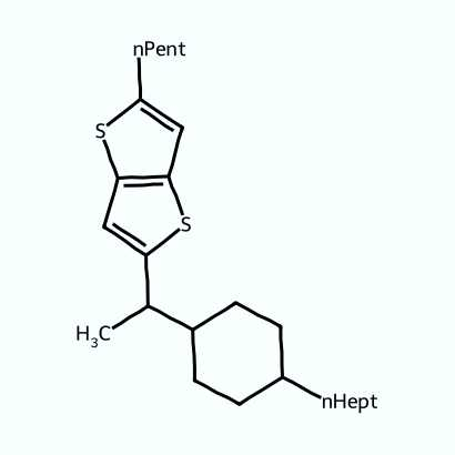 CCCCCCCC1CCC(C(C)c2cc3sc(CCCCC)cc3s2)CC1